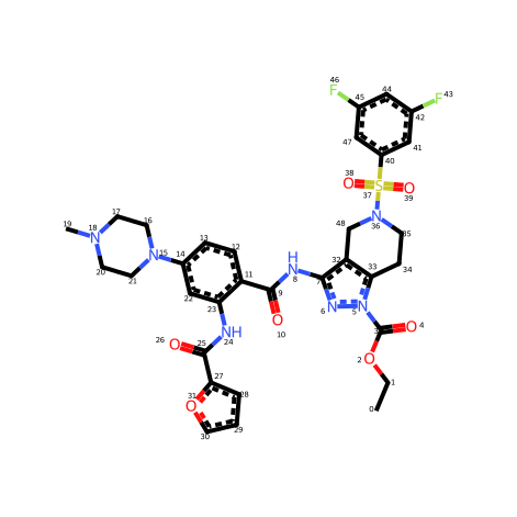 CCOC(=O)n1nc(NC(=O)c2ccc(N3CCN(C)CC3)cc2NC(=O)c2ccco2)c2c1CCN(S(=O)(=O)c1cc(F)cc(F)c1)C2